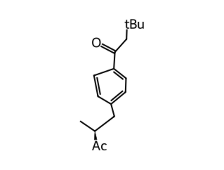 CC(=O)[C@@H](C)Cc1ccc(C(=O)CC(C)(C)C)cc1